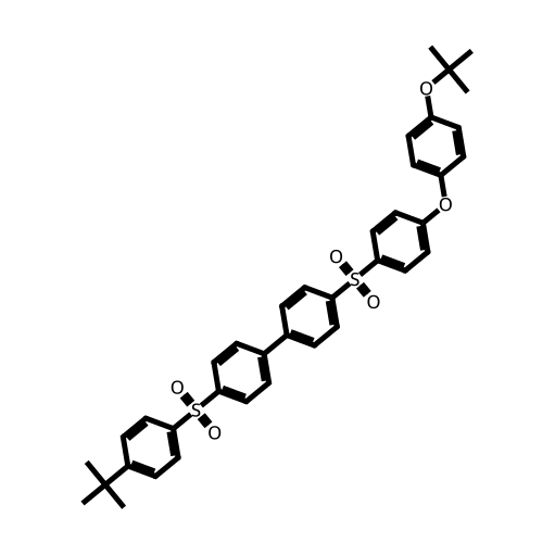 CC(C)(C)Oc1ccc(Oc2ccc(S(=O)(=O)c3ccc(-c4ccc(S(=O)(=O)c5ccc(C(C)(C)C)cc5)cc4)cc3)cc2)cc1